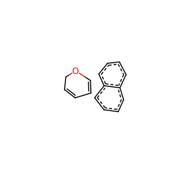 C1=CCOC=C1.c1ccc2ccccc2c1